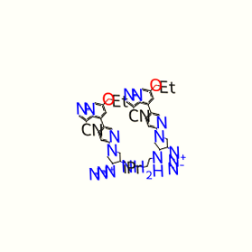 CCOc1cc(-c2ccc(N3C[C@@H](N)[C@H](N=[N+]=[N-])C3)nc2)c2c(C#N)cnn2c1.CCOc1cc(-c2ccc(N3C[C@@H](N=[N+]=[N-])[C@H](NCCC(C)C)C3)nc2)c2c(C#N)cnn2c1